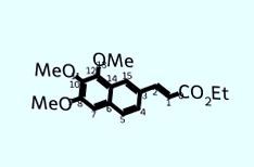 CCOC(=O)C=Cc1ccc2cc(OC)c(OC)c(OC)c2c1